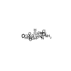 Nc1nc(Cl)nc2c1ncn2[C@@H]1O[C@H](CO[C@@H](C(=O)OCc2ccccc2)P(=O)(O)O)[C@@H](O)[C@H]1O